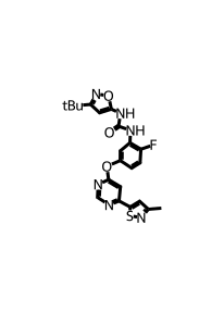 Cc1cc(-c2cc(Oc3ccc(F)c(NC(=O)Nc4cc(C(C)(C)C)no4)c3)ncn2)sn1